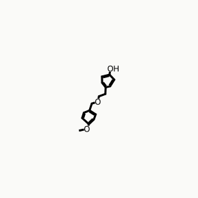 COc1ccc(COCCc2ccc(O)cc2)cc1